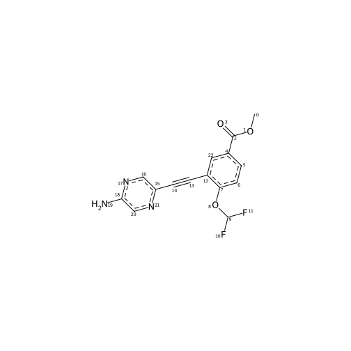 COC(=O)c1ccc(OC(F)F)c(C#Cc2cnc(N)cn2)c1